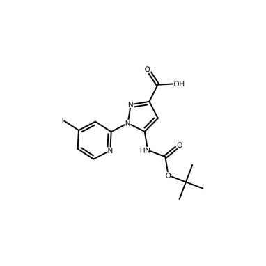 CC(C)(C)OC(=O)Nc1cc(C(=O)O)nn1-c1cc(I)ccn1